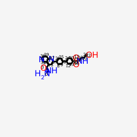 NNC(=O)c1cc(-c2ccc(-c3ccc(S(=O)(=O)NCCCO)cc3)cc2)nc2ccncc12